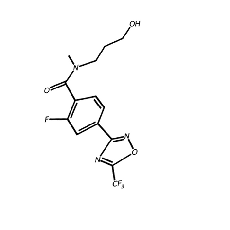 CN(CCCO)C(=O)c1ccc(-c2noc(C(F)(F)F)n2)cc1F